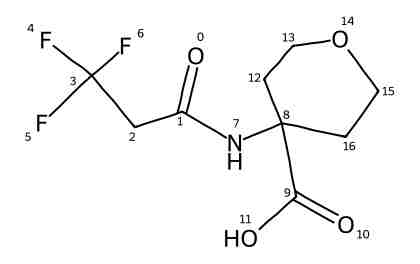 O=C(CC(F)(F)F)NC1(C(=O)O)CCOCC1